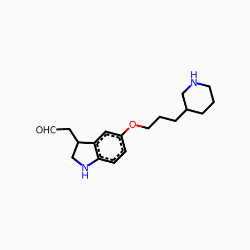 O=CCC1CNc2ccc(OCCCC3CCCNC3)cc21